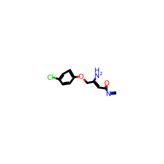 C=NC(=O)/C=C(\N)COc1ccc(Cl)cc1